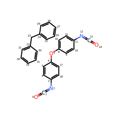 O=C=Nc1ccc(Oc2ccc(N=C=O)cc2)cc1.c1ccc(Cc2ccccc2)cc1